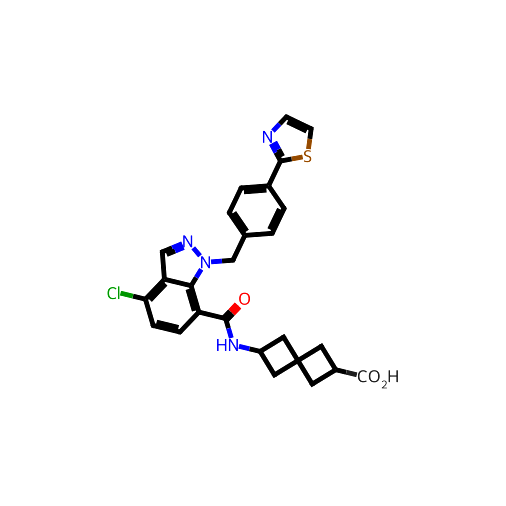 O=C(NC1CC2(C1)CC(C(=O)O)C2)c1ccc(Cl)c2cnn(Cc3ccc(-c4nccs4)cc3)c12